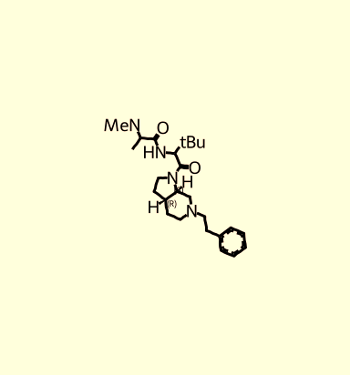 CNC(C)C(=O)NC(C(=O)N1CC[C@H]2CCN(CCc3ccccc3)C[C@H]21)C(C)(C)C